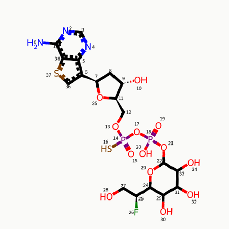 Nc1ncnc2c([C@H]3C[C@H](O)[C@@H](COP(=O)(S)OP(=O)(O)OC4OC([C@@H](F)CO)C(O)C(O)C4O)O3)csc12